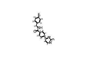 Cc1nccc(-c2ccc(C(=O)NCc3ccc(F)cc3)cc2)n1